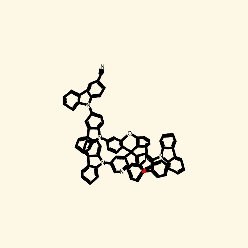 N#Cc1ccc2c(c1)c1ccccc1n2-c1ccc2c(c1)c1ccccc1n2-c1ccc2c(c1)Oc1cccc(-n3c4ccccc4c4ccccc43)c1C21c2cc(-n3c4ccccc4c4ccccc43)cnc2-c2ncc(-n3c4ccccc4c4ccccc43)cc21